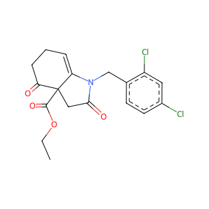 CCOC(=O)C12CC(=O)N(Cc3ccc(Cl)cc3Cl)C1=CCCC2=O